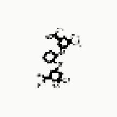 CC1(C)CC(NC2CCCCC2NC2=CC(=C(C#N)C#N)CC(C)(C)C2)=CC(=C(C#N)C#N)C1